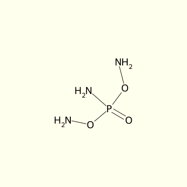 NOP(N)(=O)ON